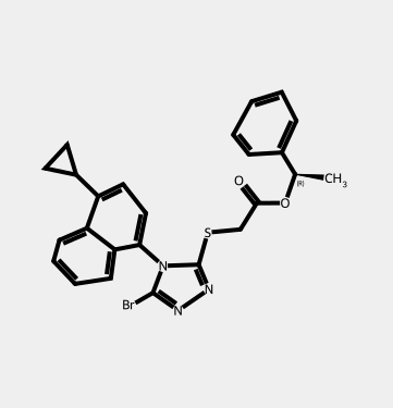 C[C@@H](OC(=O)CSc1nnc(Br)n1-c1ccc(C2CC2)c2ccccc12)c1ccccc1